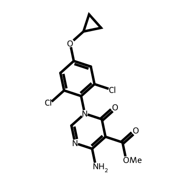 COC(=O)c1c(N)ncn(-c2c(Cl)cc(OC3CC3)cc2Cl)c1=O